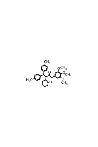 COc1cc(CC(=O)C(C2CCCCN2)C(c2ccc(C)cc2)c2ccc(C)cc2)cc(OC)c1OC